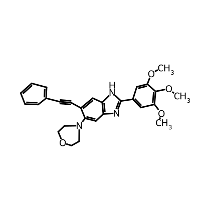 COc1cc(-c2nc3cc(N4CCOCC4)c(C#Cc4ccccc4)cc3[nH]2)cc(OC)c1OC